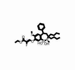 CCCCC1(CCCC)CC(c2ccccc2)c2cc(SC)c(O/C=C(\F)C(=O)OCC)cc2S(O)(O)N1C